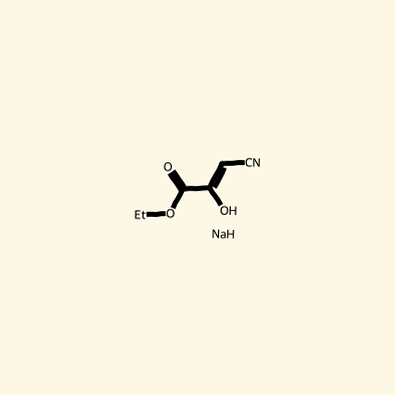 CCOC(=O)/C(O)=C/C#N.[NaH]